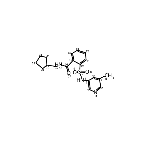 Cc1cncc(NS(=O)(=O)c2ccccc2C(=O)NCC2CCCC2)c1